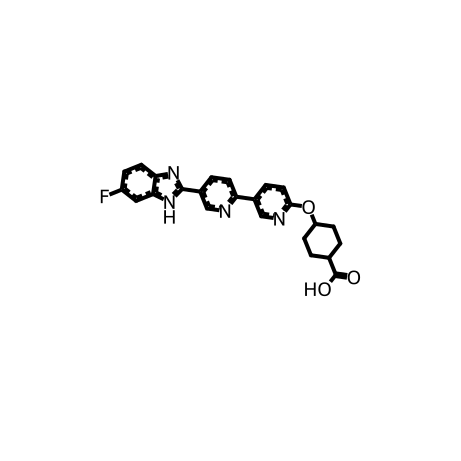 O=C(O)C1CCC(Oc2ccc(-c3ccc(-c4nc5ccc(F)cc5[nH]4)cn3)cn2)CC1